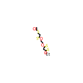 C1CO1.CCOC(=S)CC(=S)OCCOC(=S)CC=S